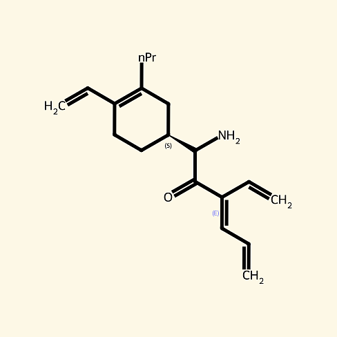 C=C/C=C(\C=C)C(=O)C(N)[C@H]1CCC(C=C)=C(CCC)C1